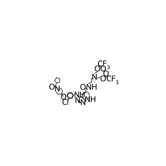 O=C(NCCCN(CCOC(=O)C(F)(F)F)CCOC(=O)C(F)(F)F)C1=Cc2c(ncnc2Nc2ccc(OC3CCN(C(=O)C4CCCC4)CC3)c(Cl)c2)NCC1